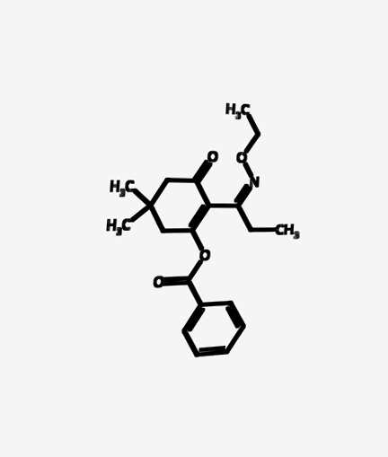 CCO/N=C(/CC)C1=C(OC(=O)c2ccccc2)CC(C)(C)CC1=O